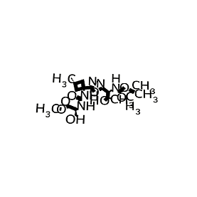 COC(=O)[C@H](CO)NC(=O)N[C@]1(c2nnc([C@@H](NC(=O)OC(C)(C)C)[C@@H](C)O)o2)C[C@@H](C)C1